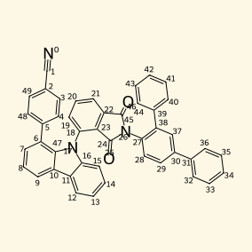 N#Cc1ccc(-c2cccc3c4ccccc4n(-c4cccc5c4C(=O)N(c4ccc(-c6ccccc6)cc4-c4ccccc4)C5=O)c23)cc1